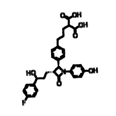 O=C(O)C(CCCc1ccc([C@@H]2[C@@H](CC[C@H](O)c3ccc(F)cc3)C(=O)N2c2ccc(O)cc2)cc1)C(=O)O